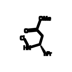 CCC[C@@H](CC(=O)OC)NCl